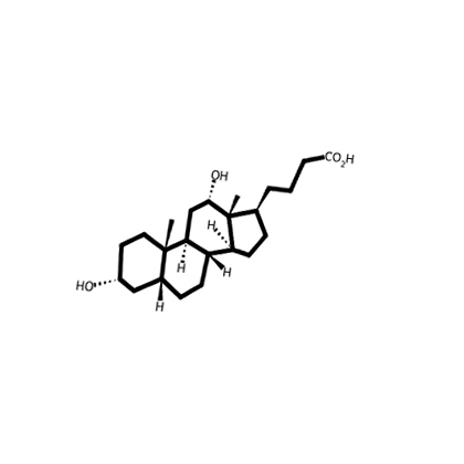 C[C@]12CC[C@@H](O)C[C@H]1CC[C@@H]1[C@@H]2C[C@H](O)[C@]2(C)[C@@H](CCCC(=O)O)CC[C@@H]12